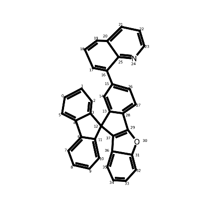 c1ccc2c(c1)-c1ccccc1C21c2cc(-c3cccc4cccnc34)ccc2-c2oc3ccccc3c21